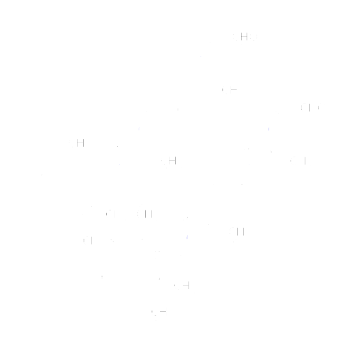 CC1=C(/C=C/C(C)=C/C=C/C(C)=C/C=O)C(C)(C)CCC1.CC1=C(/C=C/C(C)=C/C=C/C(C)=C/C=O)C(C)(C)CCC1